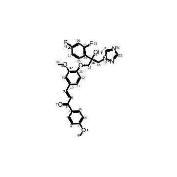 COc1ccc(C(=O)/C=C/c2ccc(OCC(O)(Cn3cncn3)c3ccc(F)cc3F)c(OC)c2)cc1